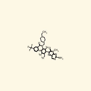 [3H]Cc1c([3H])c([3H])c(N(CN2CCN(CC)CC2)C(=O)c2cccc(C(F)(F)F)c2)c([3H])c1-c1nc2cnc(N)nc2n(C)c1=O